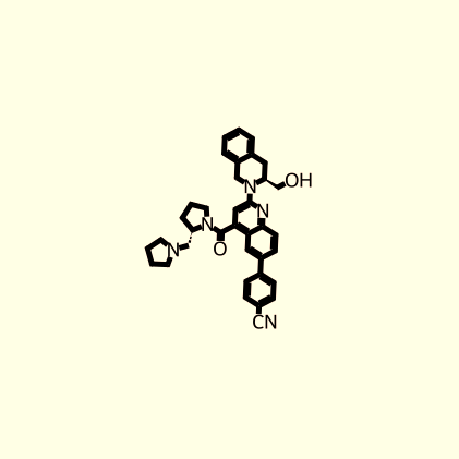 N#Cc1ccc(-c2ccc3nc(N4Cc5ccccc5C[C@H]4CO)cc(C(=O)N4CCC[C@H]4CN4CCCC4)c3c2)cc1